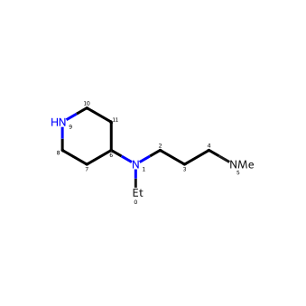 CCN(CCCNC)C1CCNCC1